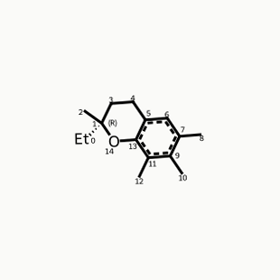 CC[C@]1(C)CCc2cc(C)c(C)c(C)c2O1